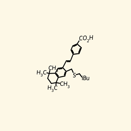 CCC(C)CSCc1cc2c(cc1/C=C/c1ccc(C(=O)O)cc1)C(C)(C)CCC2(C)C